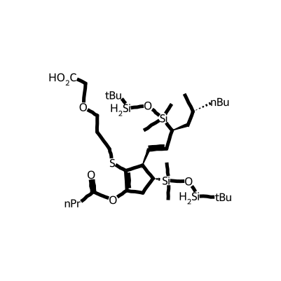 CCCC[C@@H](C)C[C@@H](/C=C/[C@@H]1C(SCCCOCC(=O)O)=C(OC(=O)CCC)C[C@H]1[Si](C)(C)O[SiH2]C(C)(C)C)[Si](C)(C)O[SiH2]C(C)(C)C